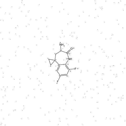 NC1CC2(CC2)c2cc(F)cc(F)c2NC1=O